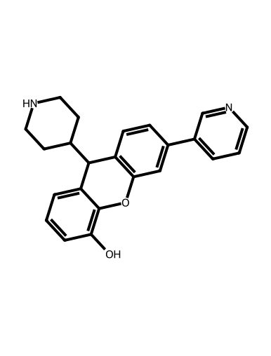 Oc1cccc2c1Oc1cc(-c3cccnc3)ccc1C2C1CCNCC1